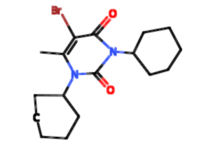 Cc1c(Br)c(=O)n(C2CCCCC2)c(=O)n1C1CCCCC1